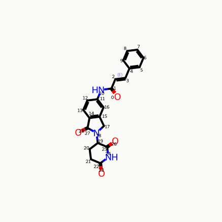 O=C(/C=C/c1ccccc1)Nc1ccc2c(c1)CN(C1CCC(=O)NC1=O)C2=O